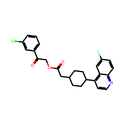 O=C(CC1CCC(c2ccnc3ccc(F)cc23)CC1)OCC(=O)c1cccc(Cl)c1